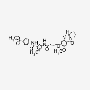 COC(=O)c1ccc(NC(=O)c2cc(NC(=O)CCCOc3cc4c(cc3OC)C(=O)N3CCCC[C@H]3C=N4)cn2C)cc1